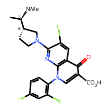 CN[C@H](C)[C@H]1CCN(c2nc3c(cc2F)c(=O)c(C(=O)O)cn3-c2ccc(F)cc2F)C1